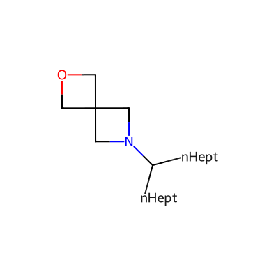 CCCCCCCC(CCCCCCC)N1CC2(COC2)C1